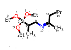 CCO[Si](OCC)(OCC)C(C)CN=C(C)CC(C)C